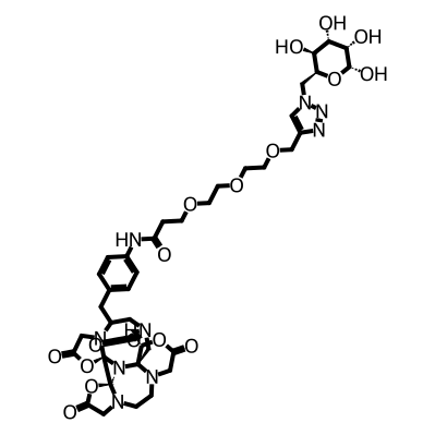 O=C(CCOCCOCCOCc1cn(C[C@@H]2O[C@@H](O)[C@@H](O)[C@@H](O)[C@@H]2O)nn1)Nc1ccc(CC2CN3CC(=O)O[C@H]4OC(=O)CN5CCN6CC(=O)O[C@@]67[N@@]([C@]45C3)[C@]73OC(=O)CN23)cc1